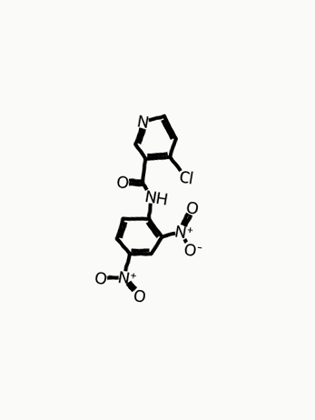 O=C(Nc1ccc([N+](=O)[O-])cc1[N+](=O)[O-])c1cnccc1Cl